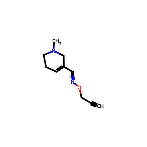 C#CCO/N=C/C1=CCCN(C)C1